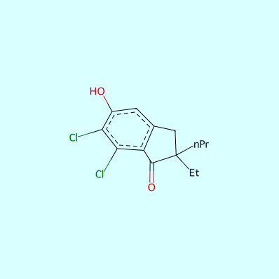 CCCC1(CC)Cc2cc(O)c(Cl)c(Cl)c2C1=O